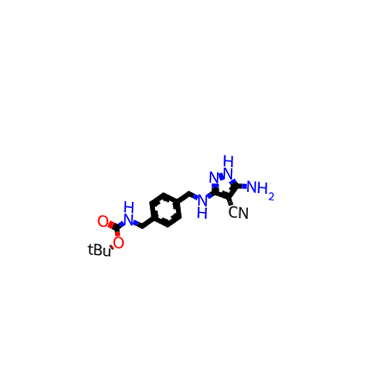 CC(C)(C)OC(=O)NCc1ccc(CNc2n[nH]c(N)c2C#N)cc1